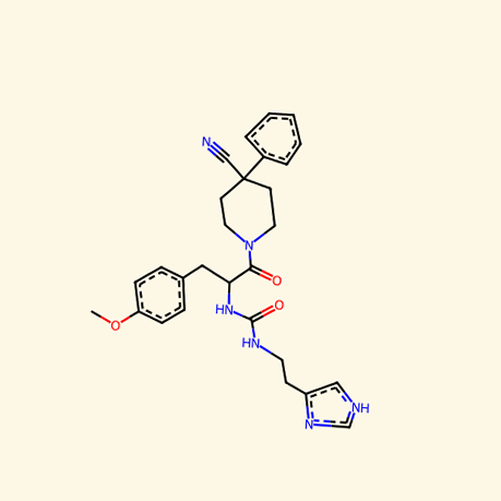 COc1ccc(CC(NC(=O)NCCc2c[nH]cn2)C(=O)N2CCC(C#N)(c3ccccc3)CC2)cc1